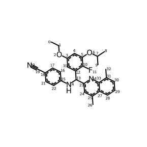 CCOc1cc(OC(C)C)c(F)c(C(Nc2ccc(C#N)cc2)c2cc(C)c3cccc(C)c3n2)c1